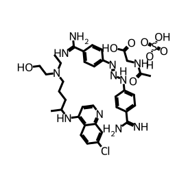 CC(=O)NCC(=O)O.CCN(CCO)CCCC(C)Nc1ccnc2cc(Cl)ccc12.N=C(N)c1ccc(/N=N/Nc2ccc(C(=N)N)cc2)cc1.O=S(=O)(O)O